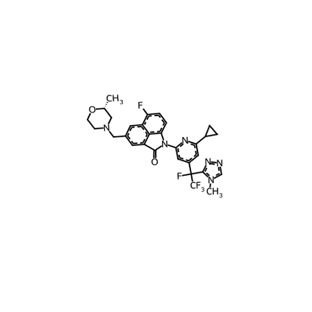 C[C@@H]1CN(Cc2cc3c4c(ccc(F)c4c2)N(c2cc(C(F)(c4nncn4C)C(F)(F)F)cc(C4CC4)n2)C3=O)CCO1